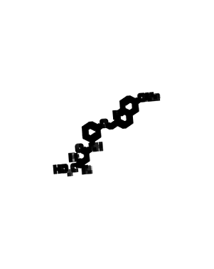 CCC(CC)(CC(=O)Nc1cccc(OCc2ccc3cc(OC)ccc3n2)c1)C(=O)O